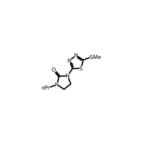 CCCN1CCN(c2nnc(SC)s2)C1=O